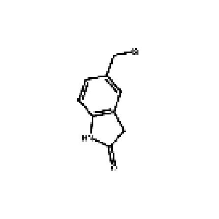 O=C1Cc2cc(CBr)ccc2N1